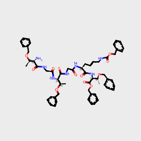 C[C@@H](OCc1ccccc1)[C@H](N)C(=O)NCC(=O)N[C@H](C(=O)NCC(=O)N[C@@H](CCCCNC(=O)OCc1ccccc1)C(=O)N[C@H](C(=O)OCc1ccccc1)[C@@H](C)OCc1ccccc1)[C@@H](C)OCc1ccccc1